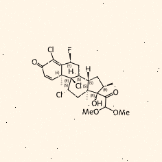 COC(OC)C(=O)[C@@]1(O)[C@H](C)C[C@H]2[C@@H]3C[C@H](F)C4=C(Cl)C(=O)C=C[C@]4(C)[C@@]3(Cl)[C@@H](Cl)C[C@@]21C